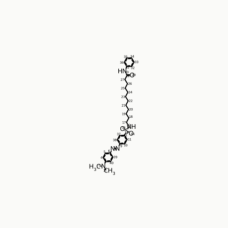 CN(C)c1ccc(N=Nc2ccc(S(=O)(=O)NCCCCCCCCCCCC(=O)Nc3ccccc3)cc2)cc1